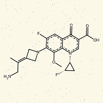 COc1c(N2CC(=C(C)CN)C2)c(F)cc2c(=O)c(C(=O)O)cn([C@@H]3C[C@@H]3F)c12